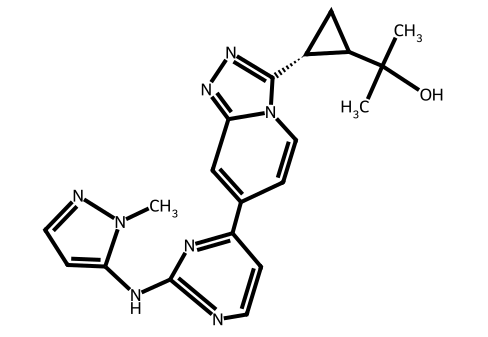 Cn1nccc1Nc1nccc(-c2ccn3c([C@@H]4CC4C(C)(C)O)nnc3c2)n1